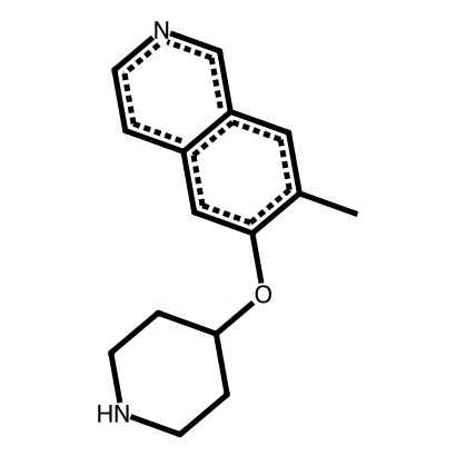 Cc1cc2cnccc2cc1OC1CCNCC1